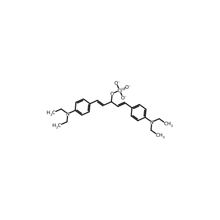 CCN(CC)c1ccc(C=CC(C=Cc2ccc(N(CC)CC)cc2)O[Cl+3]([O-])([O-])[O-])cc1